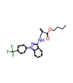 C=C(CNc1nn(-c2ccc(C(F)(F)F)cc2)c2ccccc12)C(=O)OCCCC